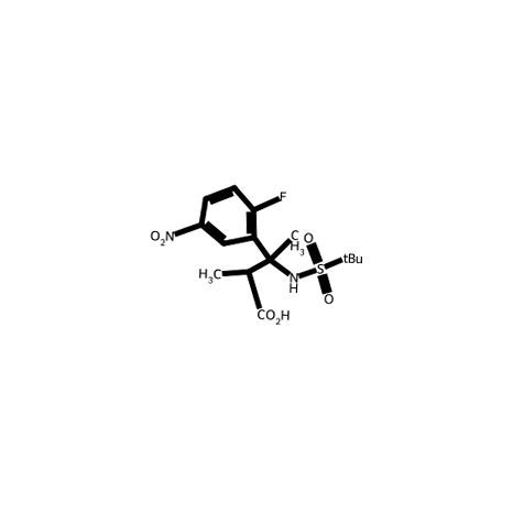 CC(C(=O)O)C(C)(NS(=O)(=O)C(C)(C)C)c1cc([N+](=O)[O-])ccc1F